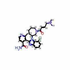 Cc1nccc(C(N)=O)c1-c1nc2cccc(Cl)c2n1C1CCCCN(C(=O)C=CCN(C)C)C1